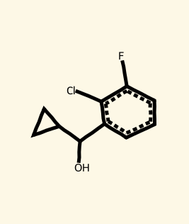 OC(c1cccc(F)c1Cl)C1CC1